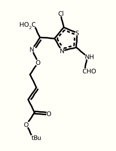 CC(C)(C)OC(=O)/C=C/CO/N=C(/C(=O)O)c1nc(NC=O)sc1Cl